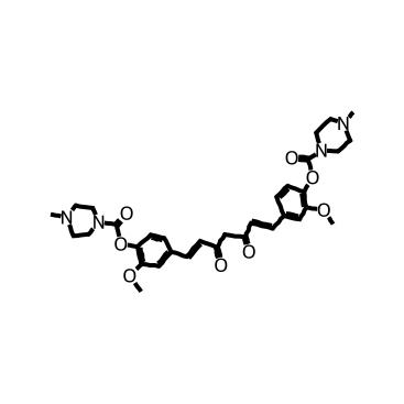 COc1cc(C=CC(=O)CC(=O)C=Cc2ccc(OC(=O)N3CCN(C)CC3)c(OC)c2)ccc1OC(=O)N1CCN(C)CC1